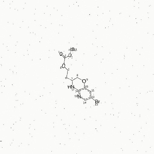 CC(C)(C)OC(=O)OCCC1COc2cc(Br)cnc2N1